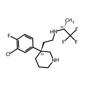 C[C@@H](NCC[C@]1(c2ccc(F)c(Cl)c2)CCCNC1)C(F)(F)F